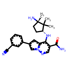 CC1(C)[C@H](Nc2c(C(N)=O)cnn3cc(-c4cccc(C#N)c4)cc23)CC[C@]1(C)N